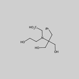 CC(C)CC(CO)(CO)N(CCO)CC(=O)O